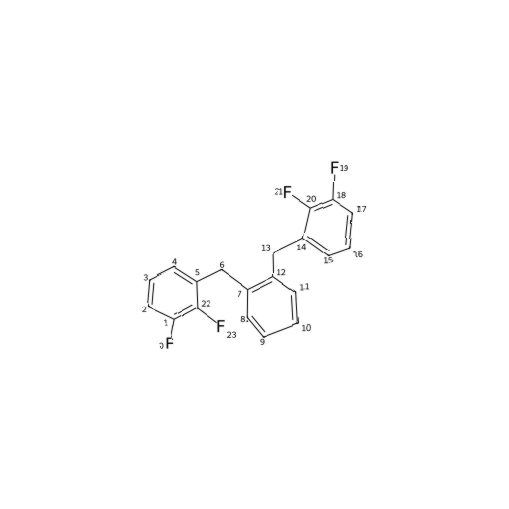 Fc1cccc(Cc2[c]cccc2Cc2cccc(F)c2F)c1F